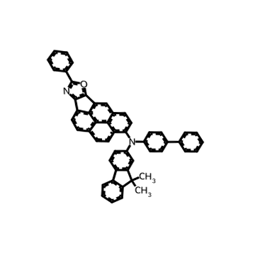 CC1(C)c2ccccc2-c2ccc(N(c3ccc(-c4ccccc4)cc3)c3ccc4cc5c6c(ccc7ccc3c4c76)-c3nc(-c4ccccc4)oc3-5)cc21